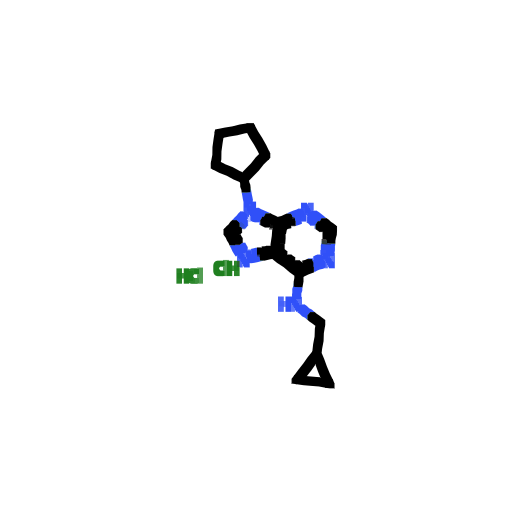 Cl.Cl.c1nc(NCC2CC2)c2ncn(C3CCCC3)c2n1